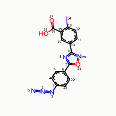 [N-]=[N+]=Nc1ccc(-c2nc(-c3ccc(I)c(C(=O)O)c3)no2)cc1